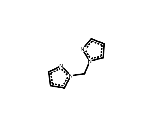 c1cnn(Cn2cccn2)c1